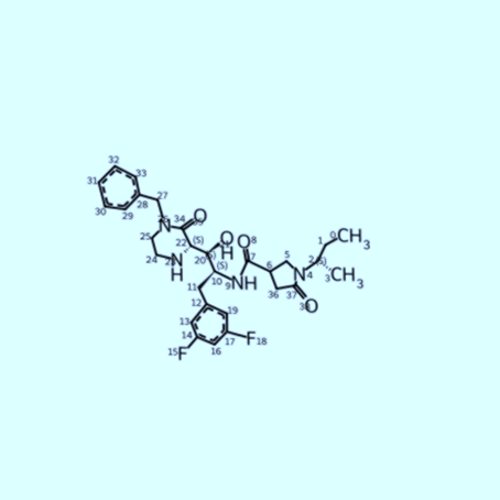 CC[C@H](C)N1CC(C(=O)N[C@@H](Cc2cc(F)cc(F)c2)[C@H](O)[C@@H]2NCCN(Cc3ccccc3)C2=O)CC1=O